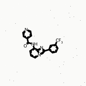 O=C(Nc1cccn2cc(-c3cccc(C(F)(F)F)c3)nc12)c1ccncc1